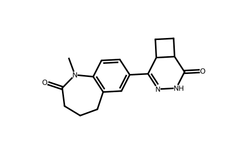 CN1C(=O)CCCc2cc(C3=NNC(=O)C4CCC34)ccc21